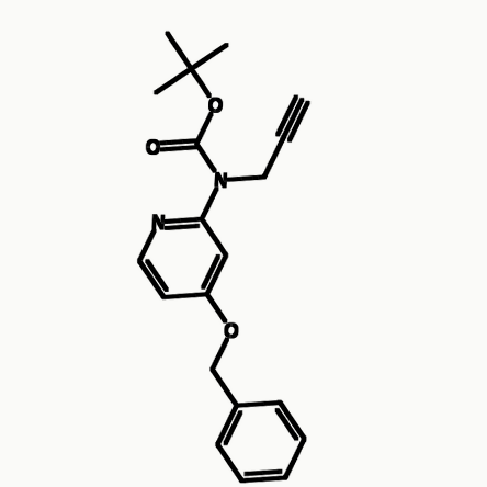 C#CCN(C(=O)OC(C)(C)C)c1cc(OCc2ccccc2)ccn1